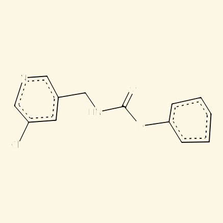 O=C(NCc1cncc(Cl)c1)Oc1ccccc1